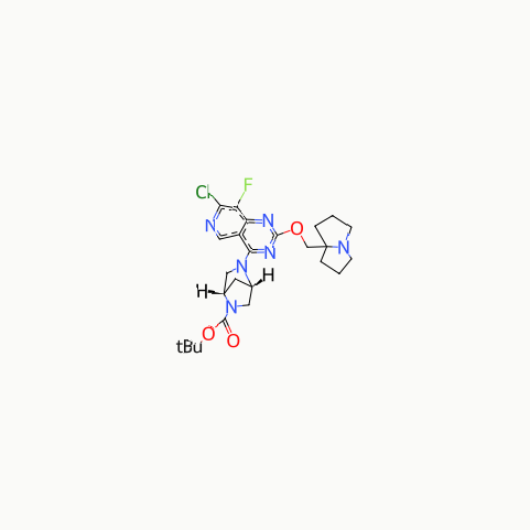 CC(C)(C)OC(=O)N1C[C@@H]2C[C@H]1CN2c1nc(OCC23CCCN2CCC3)nc2c(F)c(Cl)ncc12